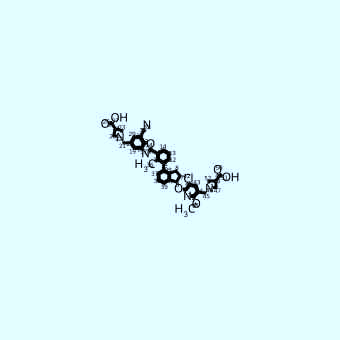 COc1nc(O[C@H]2CCc3c(-c4cccc(-c5nc6cc(CN7CC(C(=O)O)C7)cc(C#N)c6o5)c4C)cccc32)c(Cl)cc1CN1CC(C(=O)O)C1